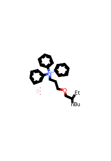 CCCCC(CC)COCCC[N+](c1ccccc1)(c1ccccc1)c1ccccc1.[B]